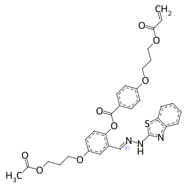 C=CC(=O)OCCCOc1ccc(C(=O)Oc2ccc(OCCCOC(C)=O)cc2/C=N/Nc2nc3ccccc3s2)cc1